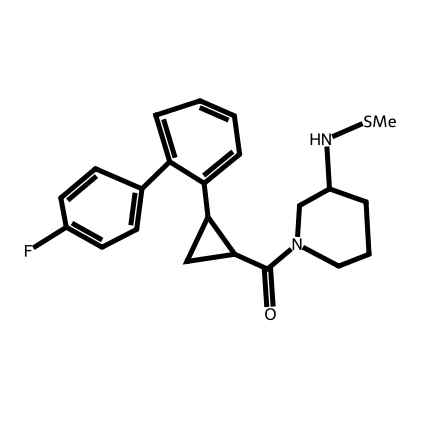 CSNC1CCCN(C(=O)C2CC2c2ccccc2-c2ccc(F)cc2)C1